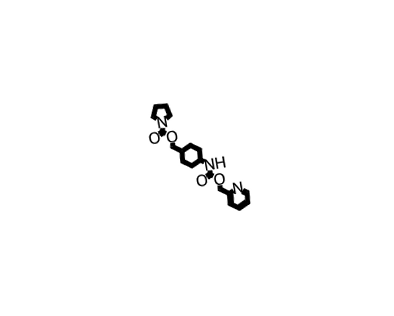 O=C(NC1CCC(COC(=O)N2CCCC2)CC1)OCc1ccccn1